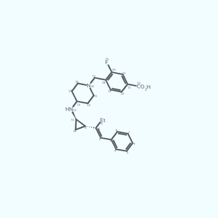 CC/C(=C\c1ccccc1)[C@@H]1C[C@H]1NC1CCN(Cc2ccc(C(=O)O)cc2F)CC1